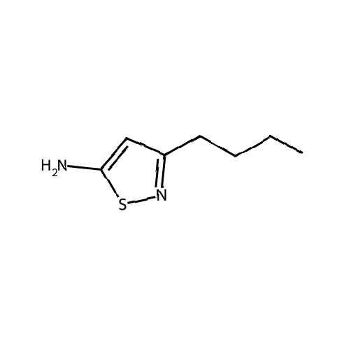 CCCCc1cc(N)sn1